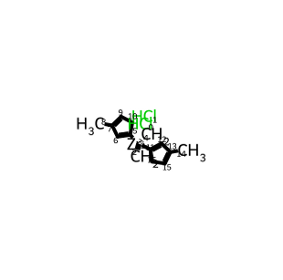 Cl.Cl.[CH2]=[Zr](=[CH2])([C]1=CC(C)=CC1)[C]1=CC(C)=CC1